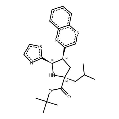 CC(C)C[C@@]1(C(=O)OC(C)(C)C)C[C@H](c2cnc3ccccc3n2)[C@H](c2nccs2)N1